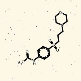 CC(=O)Nc1ccc(S(=O)(=O)CCCN2CCOCC2)cc1